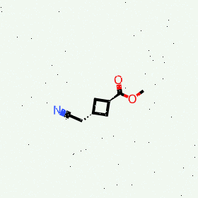 COC(=O)[C@H]1C[C@H](CC#N)C1